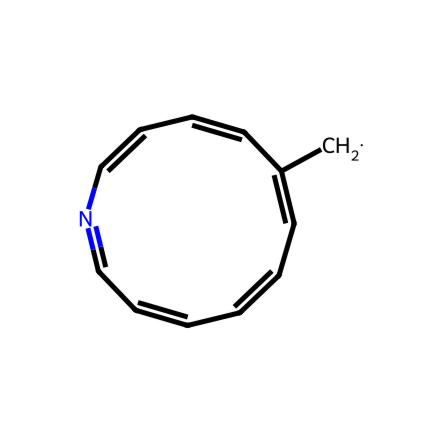 [CH2]C1=CC=CC=CC=NC=CC=C1